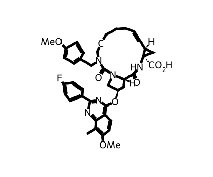 COc1ccc(CN2CCCCC/C=C\[C@H]3C[C@@]3(C(=O)O)NC(=O)[C@@H]3C[C@@H](Oc4nc(-c5ccc(F)cc5)nc5c(C)c(OC)ccc45)CN3C2=O)cc1